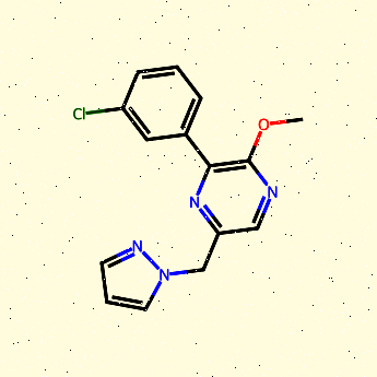 COc1ncc(Cn2cccn2)nc1-c1cccc(Cl)c1